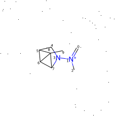 C=[N+](C)N1CC2C3C1C23C